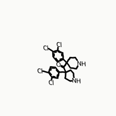 O=C(C1(c2ccc(Cl)c(Cl)c2)CCNCC1)C1(c2ccc(Cl)c(Cl)c2)CCNCC1